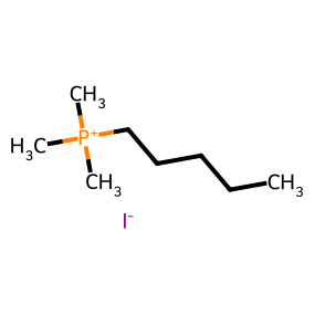 CCCCC[P+](C)(C)C.[I-]